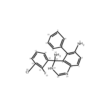 Nc1ccc2c(c1-c1ccccc1)C(N)(c1cccc(Cl)c1F)NC=N2